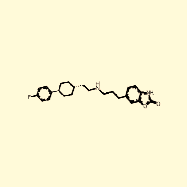 O=c1[nH]c2ccc(CCCNCC[C@H]3CC[C@H](c4ccc(F)cc4)CC3)cc2o1